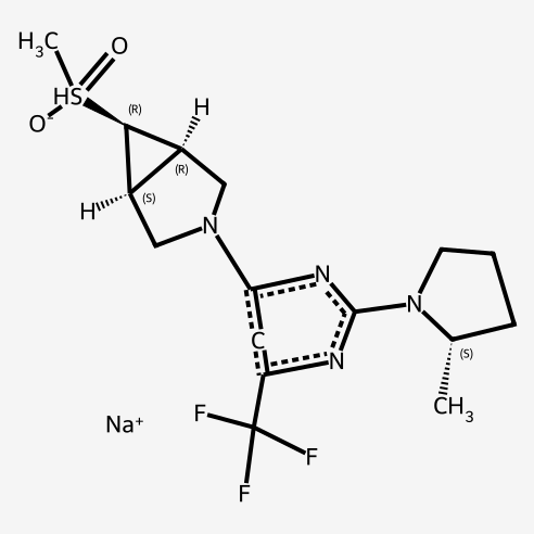 C[C@H]1CCCN1c1nc(N2C[C@@H]3[C@H](C2)[C@@H]3[SH](C)(=O)[O-])cc(C(F)(F)F)n1.[Na+]